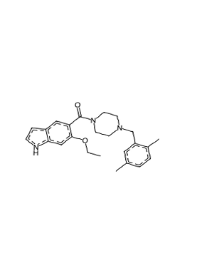 CCOc1cc2[nH]ccc2cc1C(=O)N1CCN(Cc2cc(C)ccc2C)CC1